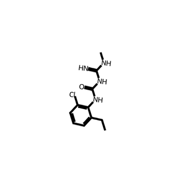 CCc1cccc(Cl)c1NC(=O)NC(=N)NC